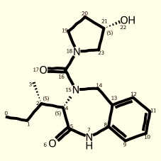 CC[C@H](C)[C@H]1C(=O)Nc2ccccc2CN1C(=O)N1CC[C@H](O)C1